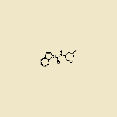 CC(C)C[C@@H]([C]=O)NC(=O)[SH]1C=Cc2ccccc21